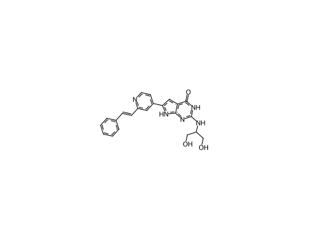 O=c1[nH]c(NC(CO)CO)nc2[nH]c(-c3ccnc(/C=C/c4ccccc4)c3)cc12